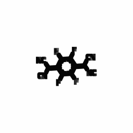 [C-]#[N+]C(C#N)=c1c(F)c(F)c(=C(C#N)[N+]#[C-])c(F)c1F